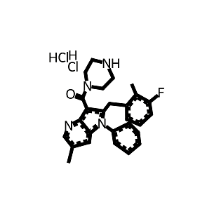 Cc1cnc2c(C(=O)N3CCNCC3)c(Cc3cccc(F)c3C)n(-c3ccccc3)c2c1.Cl.Cl